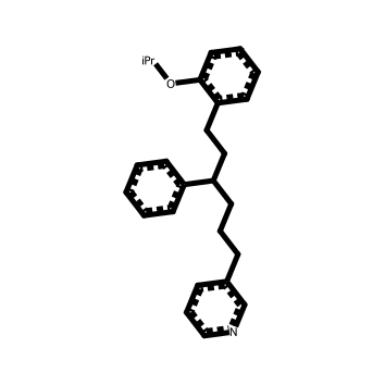 CC(C)Oc1c[c]ccc1CCC(CCCc1cccnc1)c1ccccc1